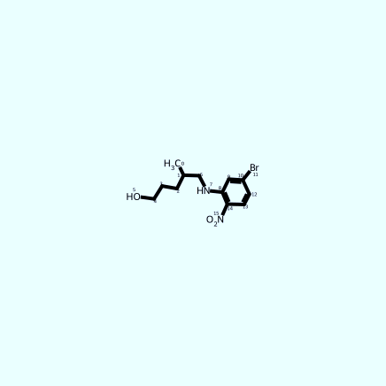 CC(CCCO)CNc1cc(Br)ccc1[N+](=O)[O-]